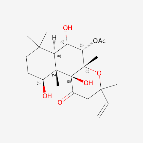 C=CC1(C)CC(=O)[C@]2(O)[C@@]3(C)[C@H]([C@H](O)[C@H](OC(C)=O)[C@]2(C)O1)C(C)(C)CC[C@@H]3O